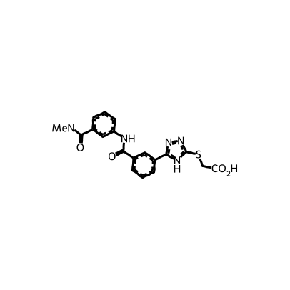 CNC(=O)c1cccc(NC(=O)c2cccc(-c3nnc(SCC(=O)O)[nH]3)c2)c1